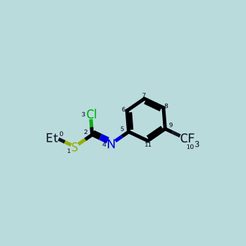 CCSC(Cl)=Nc1cccc(C(F)(F)F)c1